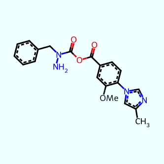 COc1cc(C(=O)OC(=O)N(N)Cc2ccccc2)ccc1-n1cnc(C)c1